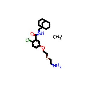 NCCSCCOc1ccc(Cl)c(C(=O)NCC23CCCC(CCC2)C3)c1.[CH2]